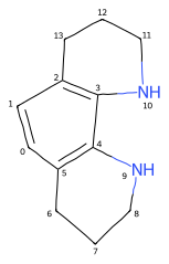 c1cc2c(c3c1CCCN3)NCCC2